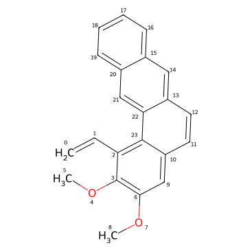 C=Cc1c(OC)c(OC)cc2ccc3cc4ccccc4cc3c12